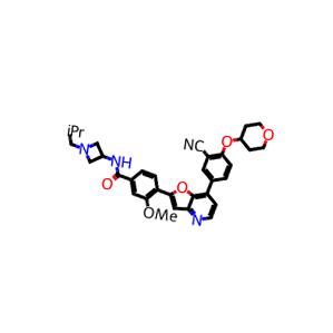 COc1cc(C(=O)NC2CN(CC(C)C)C2)ccc1-c1cc2nccc(-c3ccc(OC4CCOCC4)c(C#N)c3)c2o1